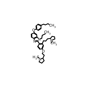 CCCCc1ccc(Oc2ccc3nc(-c4ccc(OCCC5CCCN5C)cc4CCCC4CCCN4C)n(CCCC)c3c2)cc1